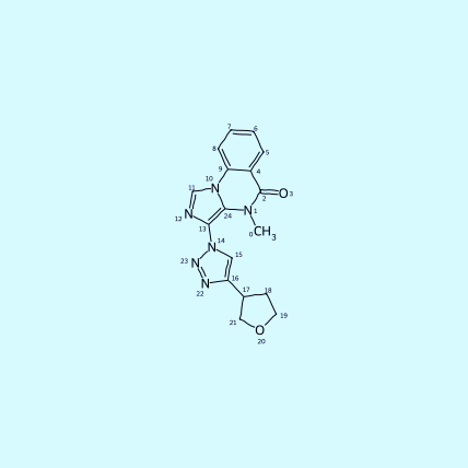 Cn1c(=O)c2ccccc2n2cnc(-n3cc(C4CCOC4)nn3)c12